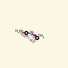 COC(=O)c1ccc(-c2noc(-c3cc4c(C)ccc(C)c4o3)n2)cc1C